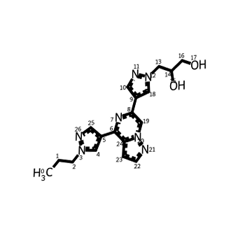 CCCn1cc(-c2nc(-c3cnn(CC(O)CO)c3)cn3nccc23)cn1